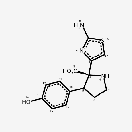 Nc1nc([C@]2(C(=O)O)NCCC2c2ccc(O)cc2)cs1